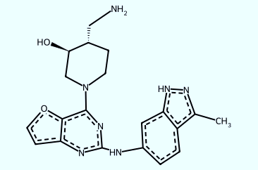 Cc1n[nH]c2cc(Nc3nc(N4CC[C@@H](CN)[C@H](O)C4)c4occc4n3)ccc12